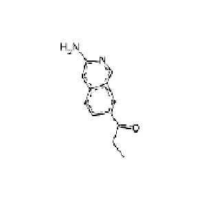 CCC(=O)c1ccc2cc(N)ncc2c1